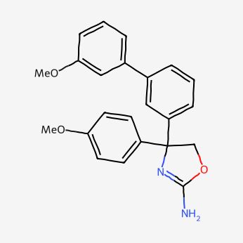 COc1ccc(C2(c3cccc(-c4cccc(OC)c4)c3)COC(N)=N2)cc1